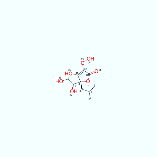 CC(C)C[C@]1([C@@H](O)CO)OC(=O)C(OO)=C1O